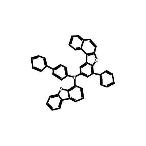 c1ccc(-c2ccc(N(c3cc(-c4ccccc4)c4oc5ccc6ccccc6c5c4c3)c3cccc4c3sc3ccccc34)cc2)cc1